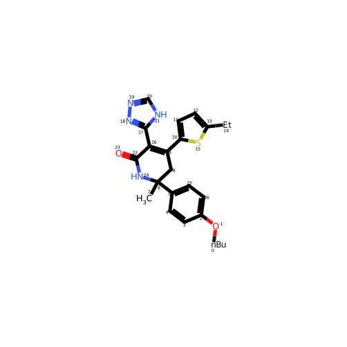 CCCCOc1ccc(C2(C)CC(c3ccc(CC)s3)=C(c3nnc[nH]3)C(=O)N2)cc1